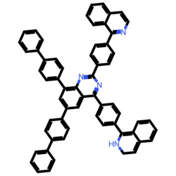 C1=c2ccccc2=C(c2ccc(-c3nc(-c4ccc(-c5nccc6ccccc56)cc4)nc4c(-c5ccc(-c6ccccc6)cc5)cc(-c5ccc(-c6ccccc6)cc5)cc34)cc2)NC1